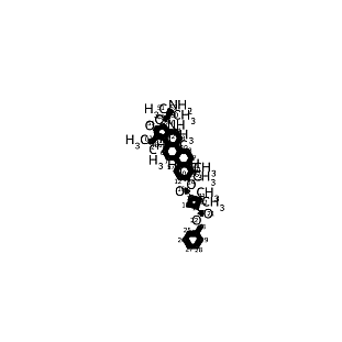 CC(C)C1=C2[C@H]3CC[C@@H]4[C@@]5(C)CC[C@H](OC(=O)[C@H]6C[C@@H](C(=O)OCc7ccccc7)C6(C)C)C(C)(C)[C@@H]5CC[C@@]4(C)[C@]3(C)CC[C@@]2(NC(=O)C(C)(C)N)CC1=O